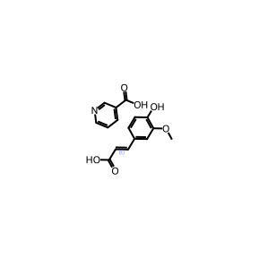 COc1cc(/C=C/C(=O)O)ccc1O.O=C(O)c1cccnc1